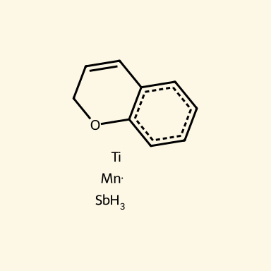 C1=Cc2ccccc2OC1.[Mn].[SbH3].[Ti]